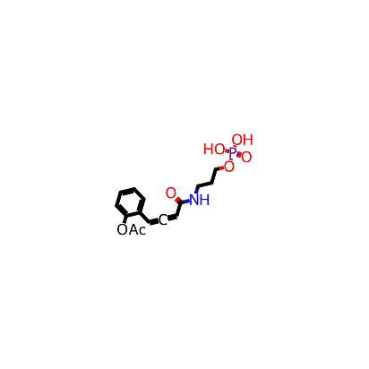 CC(=O)Oc1ccccc1C=C=CC(=O)NCCCOP(=O)(O)O